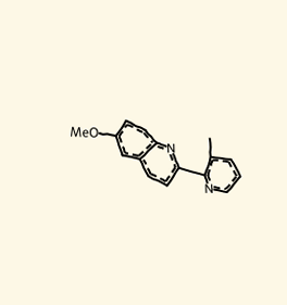 COc1ccc2nc(-c3ncccc3C)ccc2c1